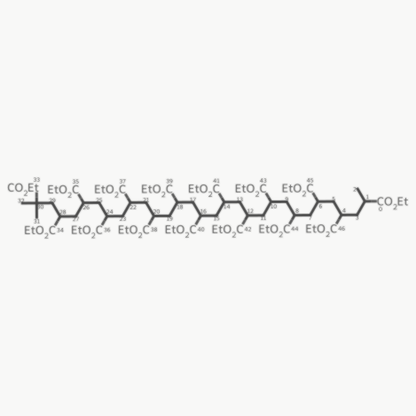 CCOC(=O)C(C)CC(CC(CC(CC(CC(CC(CC(CC(CC(CC(CC(CC(CC(CC(C)(C)C(=O)OCC)C(=O)OCC)C(=O)OCC)C(=O)OCC)C(=O)OCC)C(=O)OCC)C(=O)OCC)C(=O)OCC)C(=O)OCC)C(=O)OCC)C(=O)OCC)C(=O)OCC)C(=O)OCC)C(=O)OCC